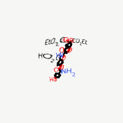 CCOC(=O)Oc1cc2occ(C(=O)NC(C(=O)O)c3ccc(OC(=O)C(N)c4ccc(O)cc4)cc3)c(=O)c2cc1OC(=O)OCC